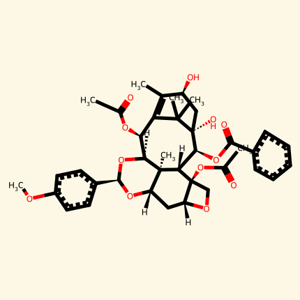 COc1ccc([C@@H]2O[C@H]3C[C@H]4OC[C@@]4(OC(C)=O)[C@H]4[C@H](OC(=O)c5ccccc5)[C@]5(O)C[C@H](O)C(C)=C([C@H](OC(C)=O)[C@H](O2)[C@]34C)C5(C)C)cc1